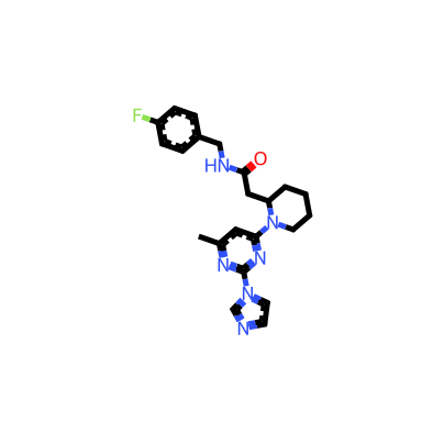 Cc1cc(N2CCCCC2CC(=O)NCc2ccc(F)cc2)nc(-n2ccnc2)n1